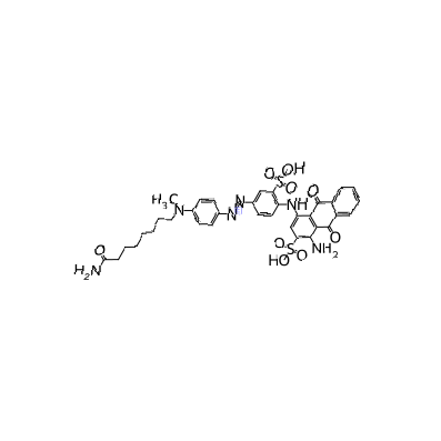 CN(CCCCCCCC(N)=O)c1ccc(/N=N/c2ccc(Nc3cc(S(=O)(=O)O)c(N)c4c3C(=O)c3ccccc3C4=O)c(S(=O)(=O)O)c2)cc1